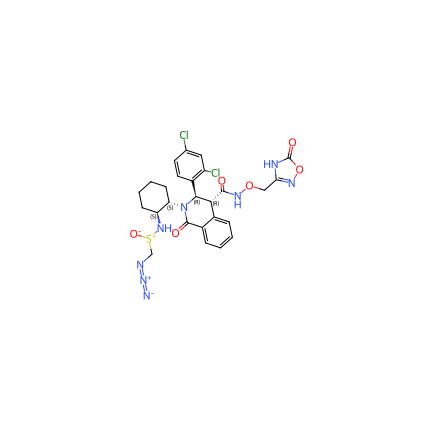 [N-]=[N+]=NC[S+]([O-])N[C@H]1CCCC[C@@H]1N1C(=O)c2ccccc2[C@@H](C(=O)NOCc2noc(=O)[nH]2)[C@@H]1c1ccc(Cl)cc1Cl